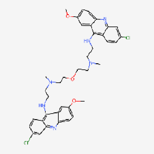 COc1ccc2nc3cc(Cl)ccc3c(NCCN(C)CCOCCN(C)CCNc3c4ccc(Cl)cc4nc4ccc(OC)cc34)c2c1